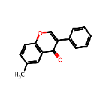 Cc1ccc2occ(-c3ccccc3)c(=O)c2c1